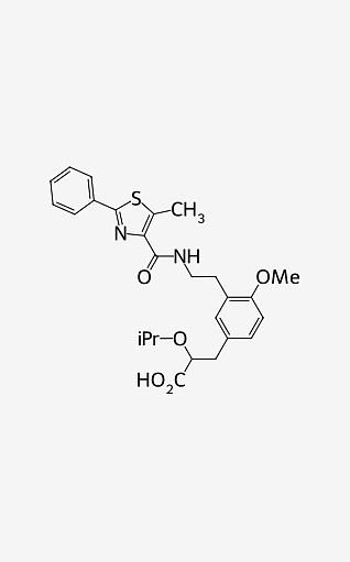 COc1ccc(CC(OC(C)C)C(=O)O)cc1CCNC(=O)c1nc(-c2ccccc2)sc1C